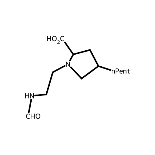 CCCCCC1CC(C(=O)O)N(CCNC=O)C1